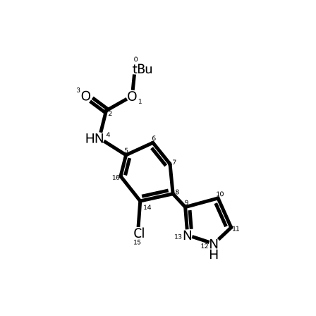 CC(C)(C)OC(=O)Nc1ccc(-c2cc[nH]n2)c(Cl)c1